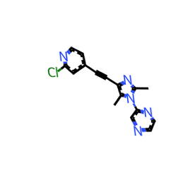 Cc1nc(C#Cc2ccnc(Cl)c2)c(C)n1-c1cnccn1